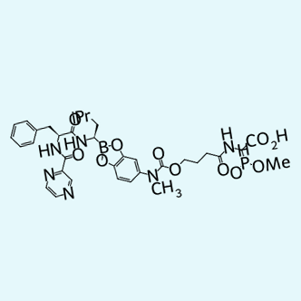 CO[PH](=O)C(NC(=O)CCCOC(=O)N(C)c1ccc2c(c1)OB([C@H](CC(C)C)NC(=O)[C@H](Cc1ccccc1)NC(=O)c1cnccn1)O2)C(=O)O